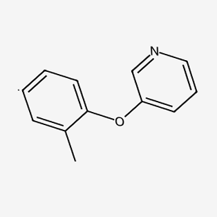 Cc1c[c]ccc1Oc1cccnc1